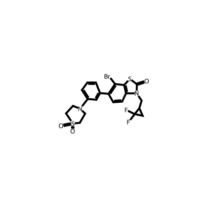 O=c1sc2c(Br)c(-c3cccc(N4CCS(=O)(=O)CC4)c3)ccc2n1CC1CC1(F)F